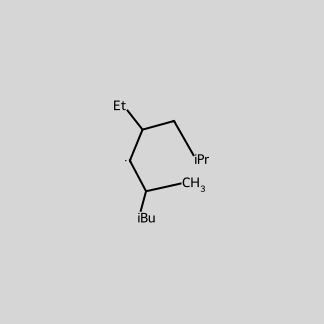 CCC([CH]C(C)C(C)CC)CC(C)C